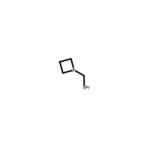 CCCCN1C[CH]C1